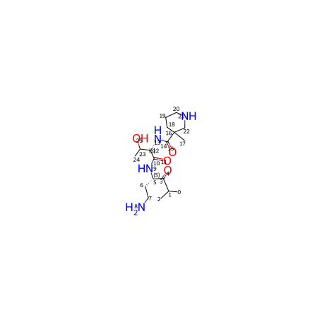 CC(C)C(=O)[C@H](CCN)NC(=O)[C@@H](NC(=O)C1(C)CCCNC1)C(C)O